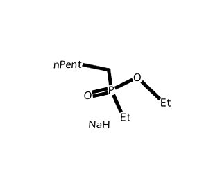 CCCCCCP(=O)(CC)OCC.[NaH]